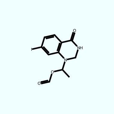 CC(OC=O)N1CNC(=O)c2ccc(I)cc21